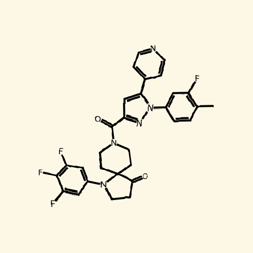 Cc1ccc(-n2nc(C(=O)N3CCC4(CC3)C(=O)CCN4c3cc(F)c(F)c(F)c3)cc2-c2ccncc2)cc1F